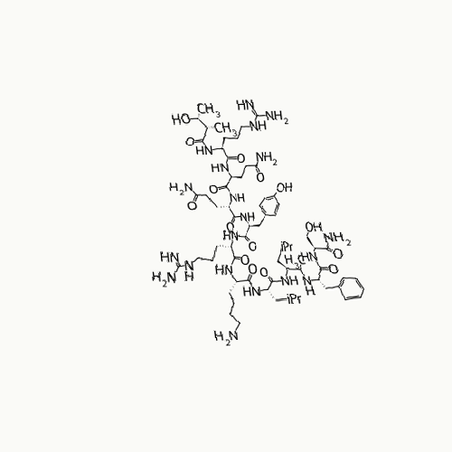 CC(C)C[C@H](NC(=O)[C@H](CCCCN)NC(=O)[C@H](CCCNC(=N)N)NC(=O)[C@H](Cc1ccc(O)cc1)NC(=O)[C@H](CCC(N)=O)NC(=O)[C@H](CCC(N)=O)NC(=O)[C@H](CCCNC(=N)N)NC(=O)[C@@H](C)[C@@H](C)O)C(=O)N[C@@H](CC(C)C)C(C)N[C@@H](Cc1ccccc1)C(=O)N[C@@H](CO)C(N)=O